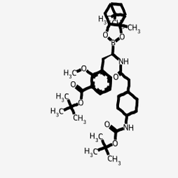 COc1c(C[C@H](NC(=O)CC2CCC(NC(=O)OC(C)(C)C)CC2)B2OC3CC4CC(C4(C)C)C3(C)O2)cccc1C(=O)OC(C)(C)C